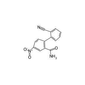 N#Cc1ccccc1-c1ccc([N+](=O)[O-])cc1C(N)=O